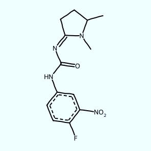 CC1CCC(=NC(=O)Nc2ccc(F)c([N+](=O)[O-])c2)N1C